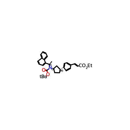 CCOC(=O)C=Cc1ccc([C@@H]2CC[C@H](N(C(=O)OC(C)(C)C)[C@H](C)c3cccc4ccccc34)C2)cc1